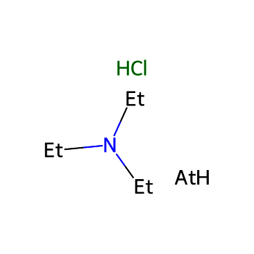 CCN(CC)CC.Cl.[AtH]